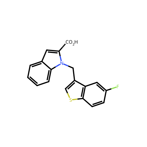 O=C(O)c1cc2ccccc2n1Cc1csc2ccc(F)cc12